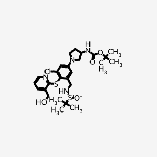 CC(C)(C)OC(=O)NC1CCN(c2cc(Cl)c(Sc3ncccc3CO)c(CN[S+]([O-])C(C)(C)C)c2)C1